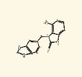 O=c1oc2cccc(O)c2n1Cc1ccc2c(c1)OCO2